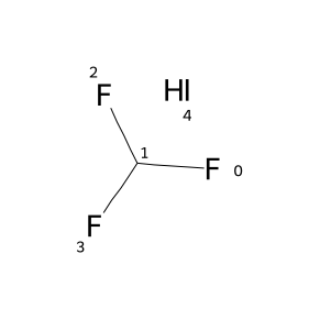 FC(F)F.I